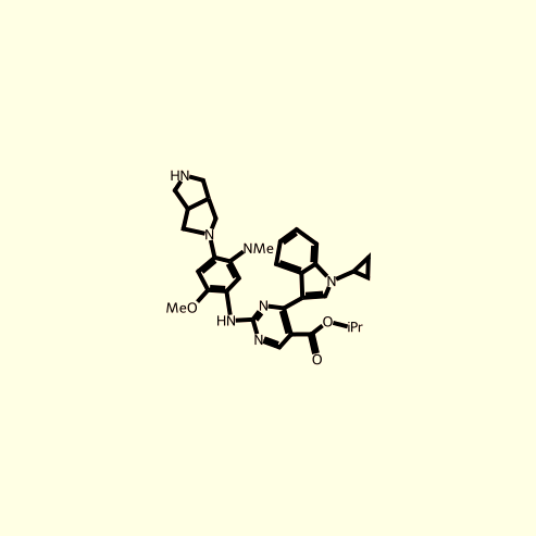 CNc1cc(Nc2ncc(C(=O)OC(C)C)c(-c3cn(C4CC4)c4ccccc34)n2)c(OC)cc1N1CC2CNCC2C1